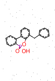 O=P1(O)Oc2c(Cc3ccccc3)cccc2-c2ccccc21